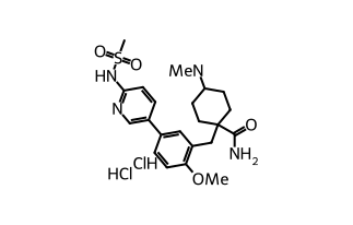 CNC1CCC(Cc2cc(-c3ccc(NS(C)(=O)=O)nc3)ccc2OC)(C(N)=O)CC1.Cl.Cl